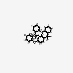 CC1(C)c2ccccc2N(c2ccccc2[Si](C)(C)C)c2cc(Oc3ccccc3)ccc21